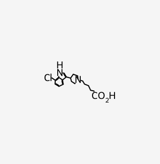 O=C(O)CCCCCN1CCC(c2c[nH]c3c(Cl)cccc23)CC1